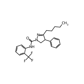 CCCCCC1=NN(C(=O)Nc2ccccc2C(F)(F)F)CC1c1ccccc1